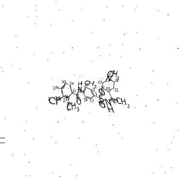 Cc1cc(S(=O)(=O)N[C@H](C)C2CCN(C)CC2)ccc1NC(=O)c1cccc(Cl)c1C